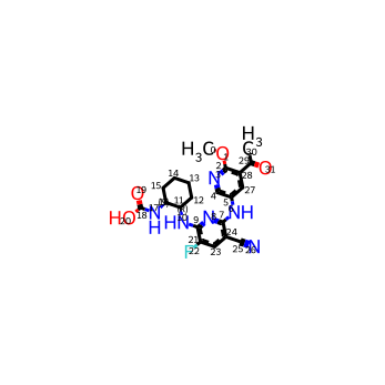 COc1ncc(Nc2nc(N[C@@H]3CCCC[C@@H]3NC(=O)O)c(F)cc2C#N)cc1C(C)=O